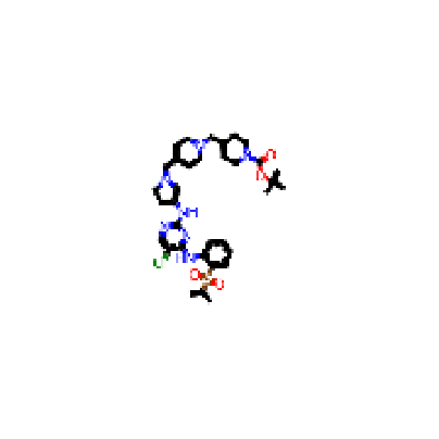 CC(C)S(=O)(=O)c1ccccc1Nc1nc(NC2CCN(CC3CCN(CC4CCN(C(=O)OC(C)(C)C)CC4)CC3)C2)ncc1Cl